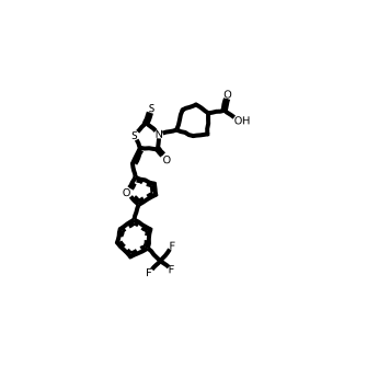 O=C(O)C1CCC(N2C(=O)/C(=C\c3ccc(-c4cccc(C(F)(F)F)c4)o3)SC2=S)CC1